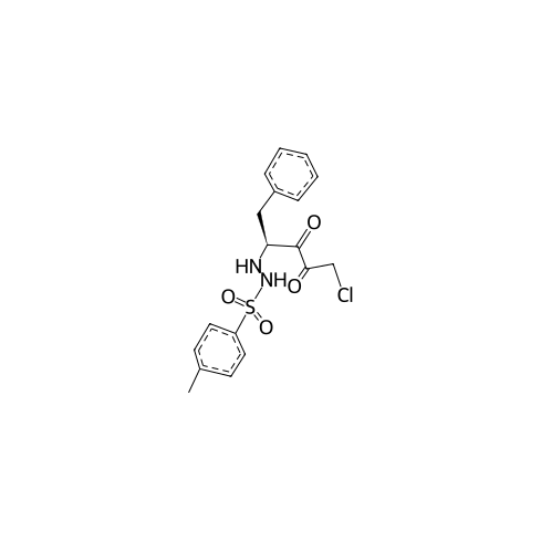 Cc1ccc(S(=O)(=O)NN[C@@H](Cc2ccccc2)C(=O)C(=O)CCl)cc1